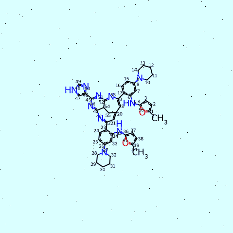 Cc1ccc(Nc2cc(N3CCCCC3)ccc2C2=CC3=CC(c4ccc(N5CCCCC5)cc4Nc4ccc(C)o4)=NC4=NC(c5c[nH]cn5)=NC(=N2)C4C3)o1